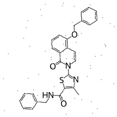 Cc1nc(-n2ccc3c(OCc4ccccc4)cccc3c2=O)sc1C(=O)NCc1ccccc1